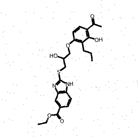 CCCc1c(OCC(O)CSc2nc3cc(C(=O)OCC)ccc3[nH]2)ccc(C(C)=O)c1O